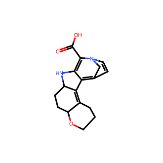 O=C(O)C1=C2NC3CCC4OCCCC4=C3C2=C2C=CN1C2